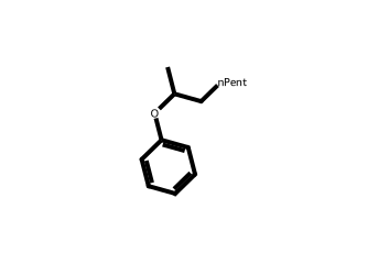 CCCCCCC(C)Oc1cc[c]cc1